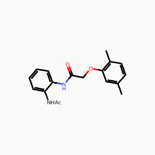 CC(=O)Nc1ccccc1NC(=O)COc1cc(C)ccc1C